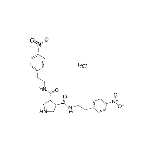 Cl.O=C(NCCc1ccc([N+](=O)[O-])cc1)[C@H]1CNC[C@@H]1C(=O)NCCc1ccc([N+](=O)[O-])cc1